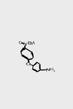 Nc1ccc(Oc2ccc([N+](=O)O)cc2)cc1